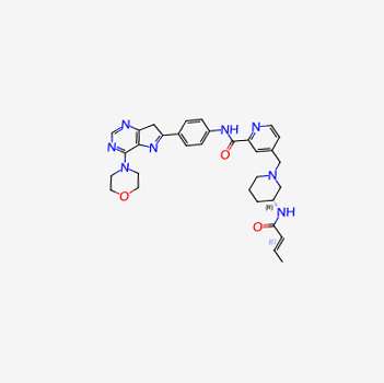 C/C=C/C(=O)N[C@@H]1CCCN(Cc2ccnc(C(=O)Nc3ccc(C4=Nc5c(ncnc5N5CCOCC5)C4)cc3)c2)C1